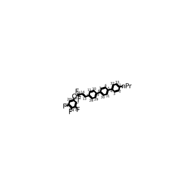 CCCc1ccc(-c2ccc(-c3ccc(/C=C/C(F)(F)Oc4cc(F)c(F)c(F)c4)cc3)cc2)cc1